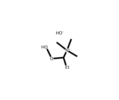 CCC(OO)[N+](C)(C)C.[OH-]